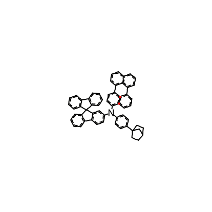 c1ccc(-c2cccc3cccc(-c4ccc(N(c5ccc(C67CCC(CC6)C7)cc5)c5ccc6c(c5)C5(c7ccccc7-c7ccccc75)c5ccccc5-6)cc4)c23)cc1